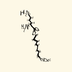 CCCCCCCCCCCCCCCCCCOC(=O)[C@H](N)CCCN